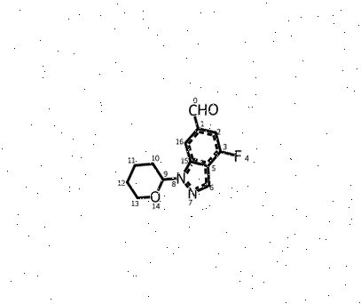 O=Cc1cc(F)c2cnn(C3CCCCO3)c2c1